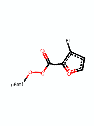 CCCCCOOC(=O)c1occc1CC